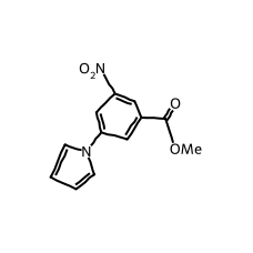 COC(=O)c1cc(-n2cccc2)cc([N+](=O)[O-])c1